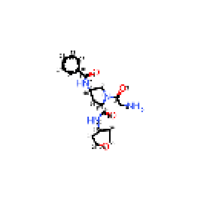 NCC(=O)N1C[C@H](NC(=O)c2ccccc2)C[C@H]1C(=O)NC1CCOCC1